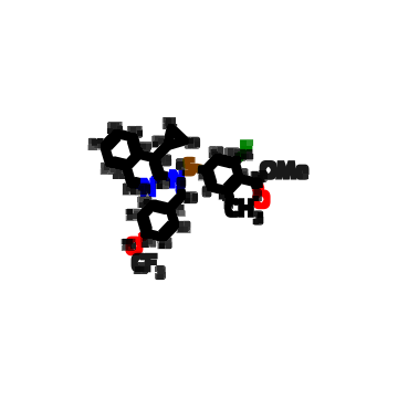 COC(=O)c1c(C)cc(SN(Cc2ccc(OC(F)(F)F)cc2)c2ncc3ccccc3c2C2CC2)cc1F